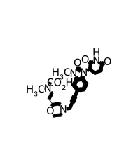 CN(CC[C@@H]1CN(CC#Cc2ccc3c(c2)n(C)c(=O)n3C2CCC(=O)NC2=O)CCO1)C(=O)O